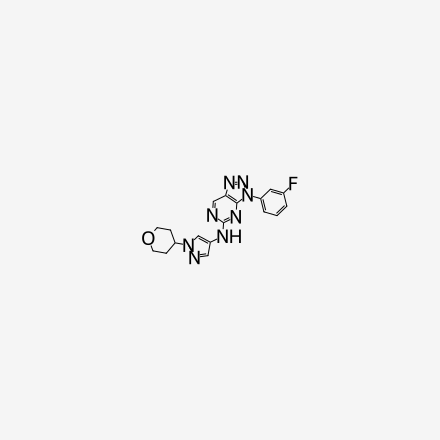 Fc1cccc(-n2nnc3cnc(Nc4cnn(C5CCOCC5)c4)nc32)c1